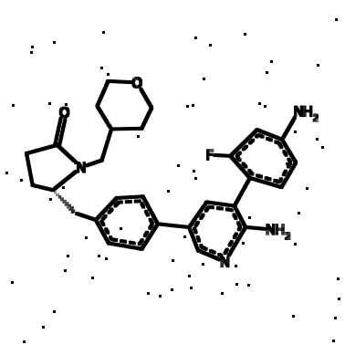 Nc1ccc(-c2cc(-c3ccc(C[C@@H]4CCC(=O)N4CC4CCOCC4)cc3)cnc2N)c(F)c1